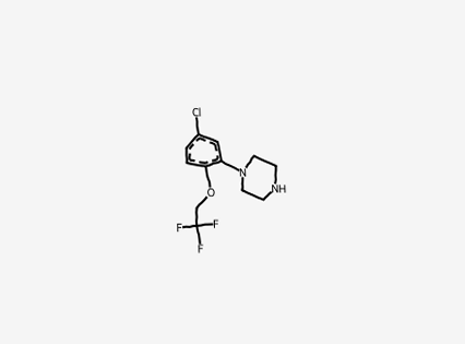 FC(F)(F)COc1ccc(Cl)cc1N1CCNCC1